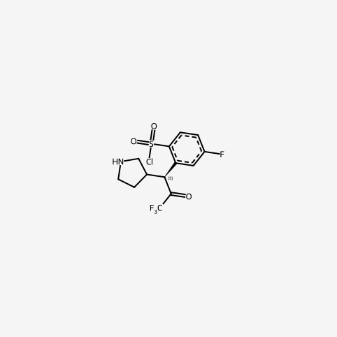 O=C([C@H](c1cc(F)ccc1S(=O)(=O)Cl)C1CCNC1)C(F)(F)F